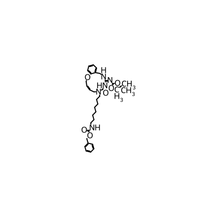 CC(C)(C)OC(=O)/N=C1/NCc2ccccc2OCC=CCN(CCCCCCCCNC(=O)OCc2ccccc2)C(=O)N1